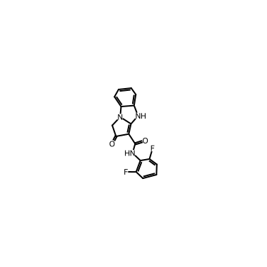 O=C1CN2C(=C1C(=O)Nc1c(F)cccc1F)Nc1ccccc12